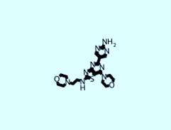 Nc1ncc(-c2nc(N3CCOCC3)c3sc(NCCN4CCOCC4)nc3n2)cn1